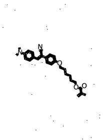 C=C(C)C(=O)OCCCCCCOc1ccc(/C(C#N)=C/c2ccc(N(C)C)cc2)cc1